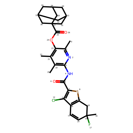 Cc1nc(NC(=O)c2sc3c(c2Cl)C=CC(C)(F)C3)c(C)c(C)c1OC(=O)C12CC3CC(CC(C3)C1)C2